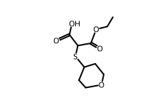 CCOC(=O)C(SC1CCOCC1)C(=O)O